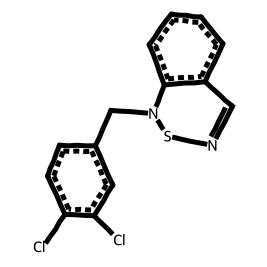 Clc1ccc(CN2SN=Cc3ccccc32)cc1Cl